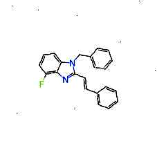 Fc1cccc2c1nc(C=Cc1ccccc1)n2Cc1ccccc1